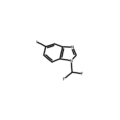 FC(F)n1cnc2cc(I)ccc21